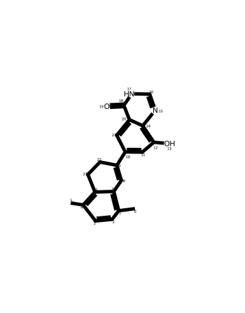 Cc1ccc(C)c2c1C=C(c1cc(O)c3nc[nH]c(=O)c3c1)CC2